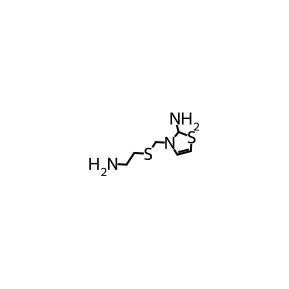 NCCSCN1C=CSC1N